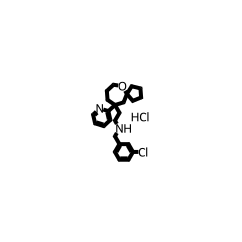 Cl.Clc1cccc(CNCCC2(c3ccccn3)CCCOC3(CCCC3)C2)c1